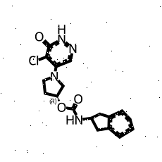 O=C(NC1Cc2ccccc2C1)O[C@@H]1CCN(c2cn[nH]c(=O)c2Cl)C1